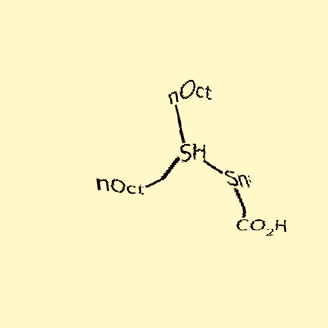 CCCCCCCC[SH](CCCCCCCC)[Sn][C](=O)O